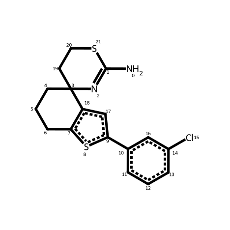 NC1=NC2(CCCc3sc(-c4cccc(Cl)c4)cc32)CCS1